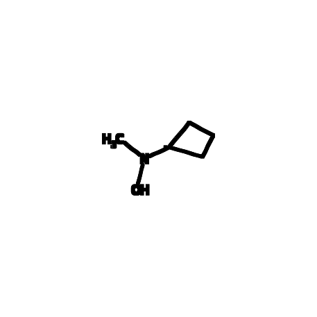 CN(O)[C]1CCC1